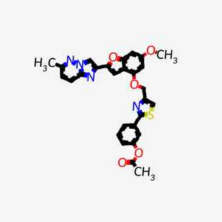 COc1cc(OCc2csc(-c3cccc(OC(C)=O)c3)n2)c2cc(-c3cn4nc(C)ccc4n3)oc2c1